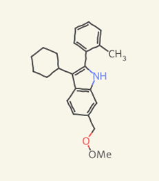 COOCc1ccc2c(C3CCCCC3)c(-c3ccccc3C)[nH]c2c1